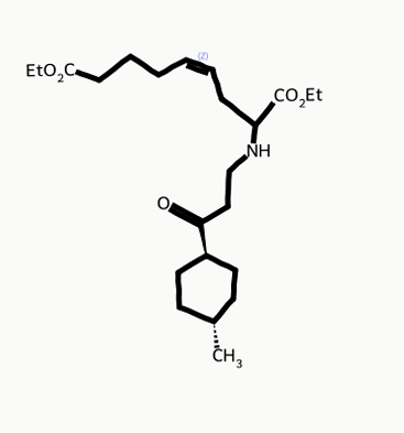 CCOC(=O)CCC/C=C\CC(NCCC(=O)[C@H]1CC[C@H](C)CC1)C(=O)OCC